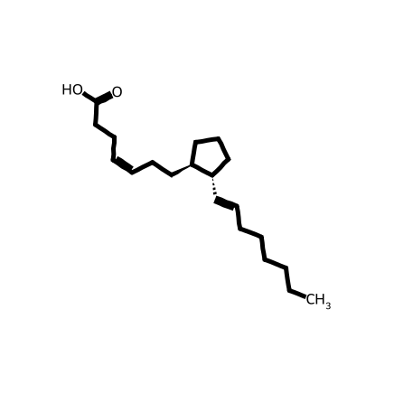 CCCCCC/C=C/[C@H]1CCC[C@@H]1CC/C=C\CCC(=O)O